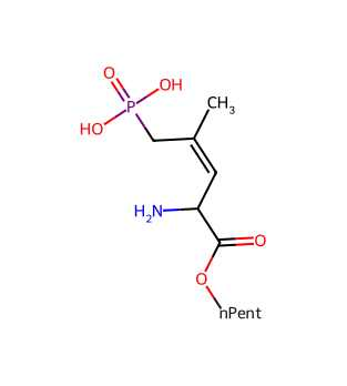 CCCCCOC(=O)C(N)C=C(C)CP(=O)(O)O